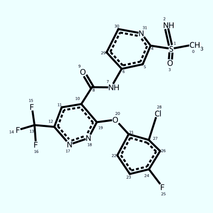 CS(=N)(=O)c1cc(NC(=O)c2cc(C(F)(F)F)nnc2Oc2ccc(F)cc2Cl)ccn1